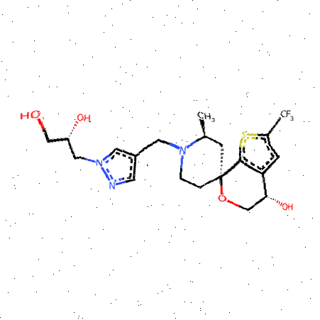 C[C@H]1C[C@@]2(CCN1Cc1cnn(C[C@@H](O)CO)c1)OC[C@@H](O)c1cc(C(F)(F)F)sc12